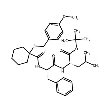 COc1ccc(CSC2(C(=O)N[C@@H](Cc3ccccc3)C(=O)N[C@@H](CC(C)C)C(=O)OC(C)(C)C)CCCCC2)cc1